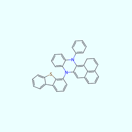 C1=Cc2cccc3cc4c(c(c23)C1)N(c1ccccc1)c1ccccc1N4c1cccc2c1sc1ccccc12